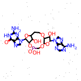 Nc1nc2c(ncn2C2OC3CCOC4C(OCP(=O)(O)OC2C3O)OC(n2cnc3c(N)ncnc32)C4O)c(=O)[nH]1